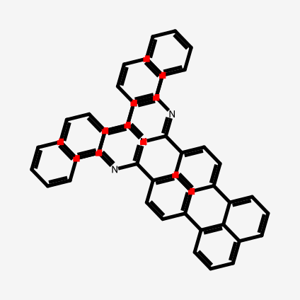 c1ccc(-c2cc(-c3ccccc3)nc(-c3ccc(-c4cccc5cccc(-c6ccc(-c7nc(-c8ccccc8)nc(-c8ccccc8)n7)cc6)c45)cc3)n2)cc1